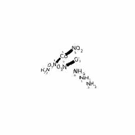 N.N.N.N.O=[N+]([O-])[Co][N+](=O)[O-].O=[N+]([O-])[O-]